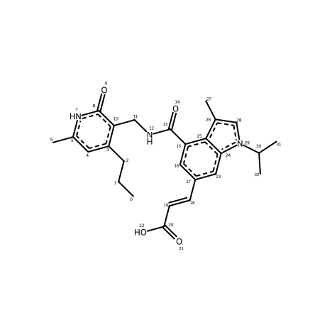 CCCc1cc(C)[nH]c(=O)c1CNC(=O)c1cc(C=CC(=O)O)cc2c1c(C)cn2C(C)C